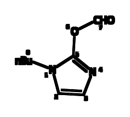 CCCCn1ccnc1OC=O